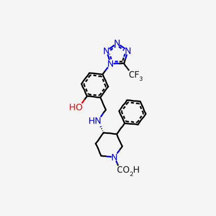 O=C(O)N1CC[C@H](NCc2cc(-n3nnnc3C(F)(F)F)ccc2O)C(c2ccccc2)C1